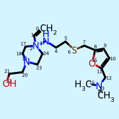 C=C[N+]1(NCCSCc2ccc(CN(C)C)o2)CCN(CCO)CC1